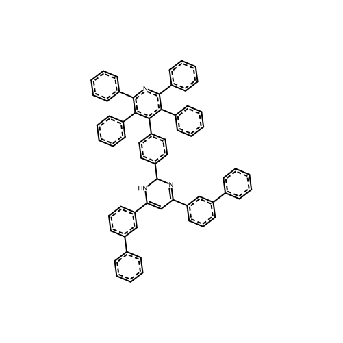 C1=C(c2cccc(-c3ccccc3)c2)NC(c2ccc(-c3c(-c4ccccc4)c(-c4ccccc4)nc(-c4ccccc4)c3-c3ccccc3)cc2)N=C1c1cccc(-c2ccccc2)c1